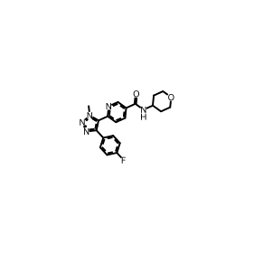 Cn1nnc(-c2ccc(F)cc2)c1-c1ccc(C(=O)NC2CCOCC2)cn1